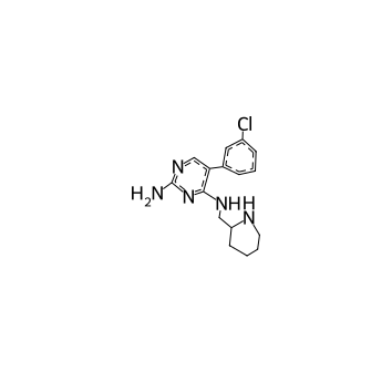 Nc1ncc(-c2cccc(Cl)c2)c(NCC2CCCCN2)n1